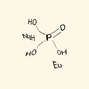 O=P(O)(O)O.[Eu].[NaH]